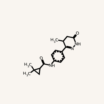 CC1CC(=O)NN=C1c1ccc(NC(=O)C2CC2(C)C)cc1